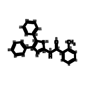 Cc1ccccc1C(=O)Nc1nc(-c2ccccc2)c(-c2ccccc2)s1